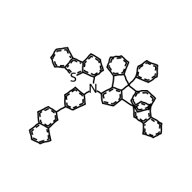 c1ccc(C2(c3ccccc3)c3ccccc3-c3c(N(c4ccc(-c5ccc6ccccc6c5)cc4)c4cccc5c4sc4ccccc45)ccc(-c4ccc5ccccc5c4)c32)cc1